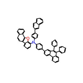 c1ccc(-c2c(-c3ccccc3)c3cc(-c4ccc(N(c5ccc(-c6ccc7ccccc7c6)cc5)c5cccc6c5oc5c7ccccc7ccc65)cc4)ccc3c3ccccc23)cc1